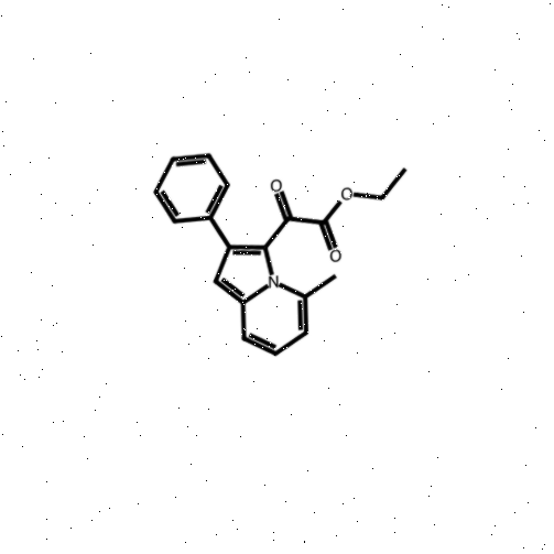 CCOC(=O)C(=O)c1c(-c2ccccc2)cc2cccc(C)n12